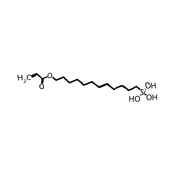 C=CC(=O)OCCCCCCCCCCCC[Si](O)(O)O